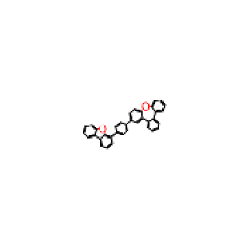 c1ccc2c(c1)Oc1ccc(-c3ccc(-c4cccc5c4oc4ccccc45)cc3)cc1-c1ccccc1-2